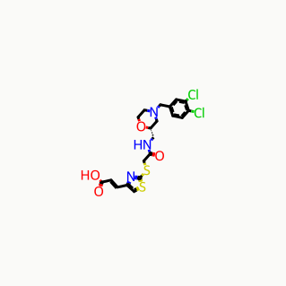 O=C(O)C=Cc1csc(SCC(=O)NC[C@H]2CN(Cc3ccc(Cl)c(Cl)c3)CCO2)n1